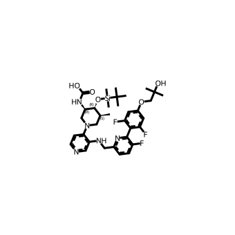 C[C@H]1CN(c2ccncc2NCc2ccc(F)c(-c3c(F)cc(OCC(C)(C)O)cc3F)n2)C[C@@H](NC(=O)O)[C@@H]1O[Si](C)(C)C(C)(C)C